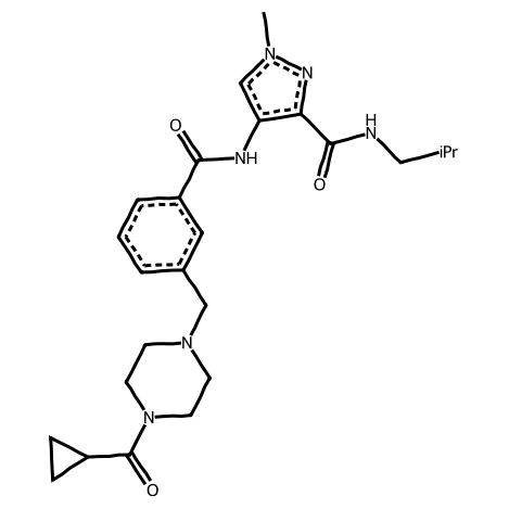 CC(C)CNC(=O)c1nn(C)cc1NC(=O)c1cccc(CN2CCN(C(=O)C3CC3)CC2)c1